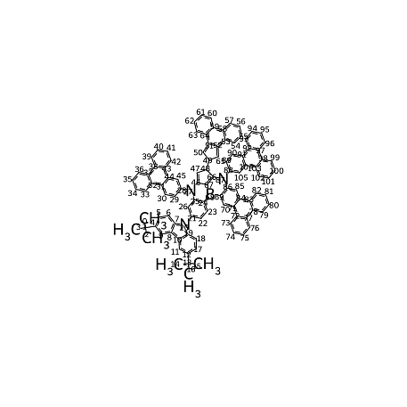 CC(C)(C)c1ccc2c(c1)c1cc(C(C)(C)C)ccc1n2-c1ccc2c(c1)N(c1ccc3c4ccccc4c4ccccc4c3c1)C1=CC(C3C=c4c(c5ccccc5c5ccccc45)=C3)C3=C1B2c1cc2c4ccccc4c4ccccc4c2cc1N3c1ccc2c3ccccc3c3ccccc3c2c1